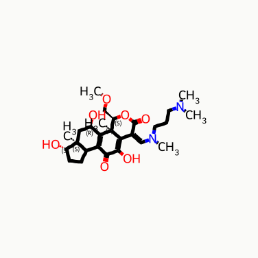 COC[C@H]1OC(=O)C(=CN(C)CCCN(C)C)C2=C(O)C(=O)C3=C([C@H](O)C[C@@]4(C)C3CC[C@@H]4O)[C@]21C